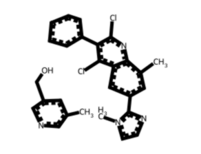 Cc1cc(-c2nccn2C)cc2c(Cl)c(-c3ccccc3)c(Cl)nc12.Cc1cncc(CO)c1